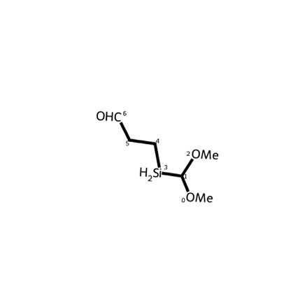 COC(OC)[SiH2]CCC=O